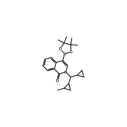 CC1CC1C(C1CC1)n1cc(B2OC(C)(C)C(C)(C)O2)c2ccccc2c1=O